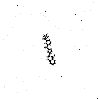 CS(=O)(=O)Nc1cccc(Nc2ncc(-c3ccc4cnccc4c3F)o2)c1